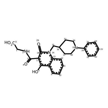 O=C(O)CNC(=O)c1c(O)c2ccccc2n(CC2CCN(c3ccccc3)CC2)c1=O